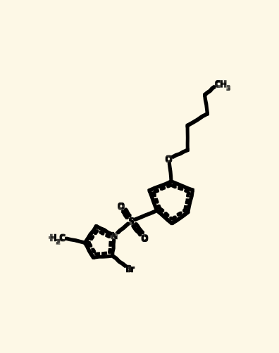 [CH2]c1cc(Br)n(S(=O)(=O)c2cccc(OCCCCC)c2)c1